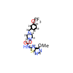 COc1ncnc2sc(NC(=O)ON3CCN(Cc4cccc(OC(F)(F)F)c4)CC3)nc12